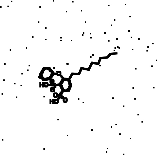 CCCCCCCCCCc1ccc(S(=O)(=O)O)c(S(=O)(=O)O)c1Oc1ccccc1